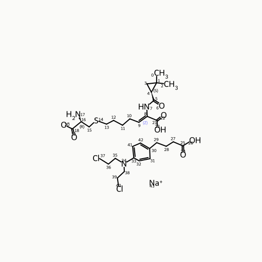 CC1(C)C[C@@H]1C(=O)N/C(=C\CCCCSC[C@H](N)C(=O)[O-])C(=O)O.O=C(O)CCCc1ccc(N(CCCl)CCCl)cc1.[Na+]